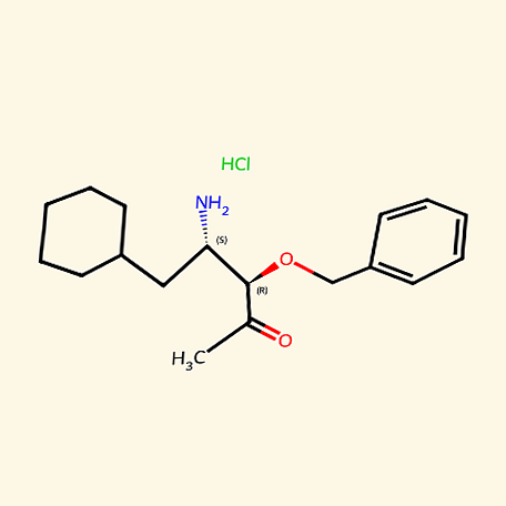 CC(=O)[C@H](OCc1ccccc1)[C@@H](N)CC1CCCCC1.Cl